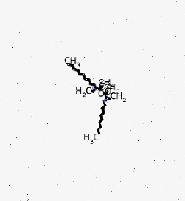 C=C/C(=C\CCCCCCCCCC)C(OC)OC(OC)/C(C=C)=C/CCCCCCCCCC